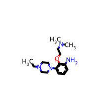 CCN1CCN(c2cccc(N)c2OCCN(C)C)CC1